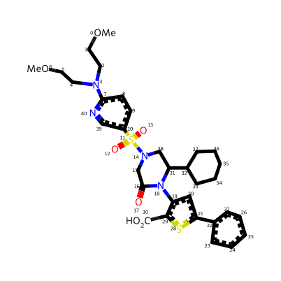 COCCN(CCOC)c1ccc(S(=O)(=O)N2CC(=O)N(c3cc(-c4ccccc4)sc3C(=O)O)C(C3CCCCC3)C2)cn1